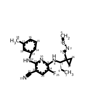 C=BN=NC1([C@H](CC)Nc2nc(Nc3cccc(C)c3)c(C#N)cc2F)CC1